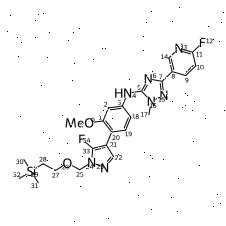 COc1cc(Nc2nc(-c3ccc(F)nc3)nn2C)ccc1-c1cnn(COCC[Si](C)(C)C)c1F